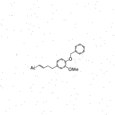 COc1cc(CCC=CC(C)=O)ccc1OCc1ccccc1